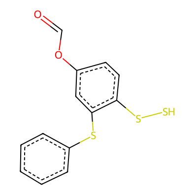 O=COc1ccc(SS)c(Sc2ccccc2)c1